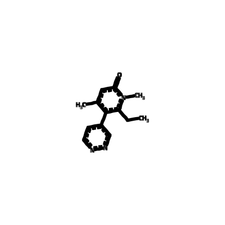 CCc1c(-c2ccnnc2)c(C)cc(=O)n1C